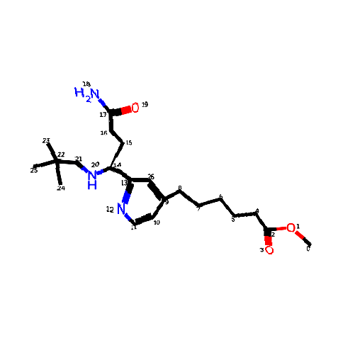 COC(=O)CCCCCc1ccnc([C@H](CCC(N)=O)NCC(C)(C)C)c1